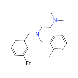 CCc1cccc(CN(CCN(C)C)Cc2ccccc2C)c1